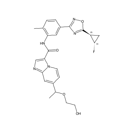 Cc1ccc(-c2noc([C@H]3C[C@@H]3F)n2)cc1NC(=O)c1cnc2cc(C(C)OCCO)ccn12